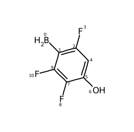 Bc1c(F)cc(O)c(F)c1F